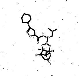 CC(C)C[C@H](NC(=O)C1CC(C2CCCCC2)=NO1)B1O[C@@H]2C[C@@H]3C[C@@H](C3(C)C)[C@]2(C)O1